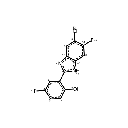 Oc1ccc(F)cc1-c1nc2cc(Cl)c(F)cc2[nH]1